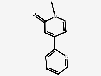 Cn1ccc(-c2ccccn2)cc1=O